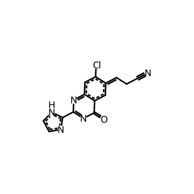 N#CCC=c1cc2c(cc1Cl)=NC(c1ncc[nH]1)=NC2=O